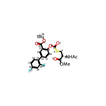 COC(=O)[C@H](CSC(=O)Oc1ccc(-c2ccc(F)cc2F)cc1C(=O)OC(C)(C)C)NC(C)=O